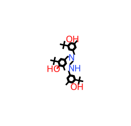 Cc1cc(CNCCN(Cc2cc(C)c(O)c(C(C)(C)C)c2)Cc2cc(C)c(O)c(C(C)(C)C)c2)cc(C(C)(C)C)c1O